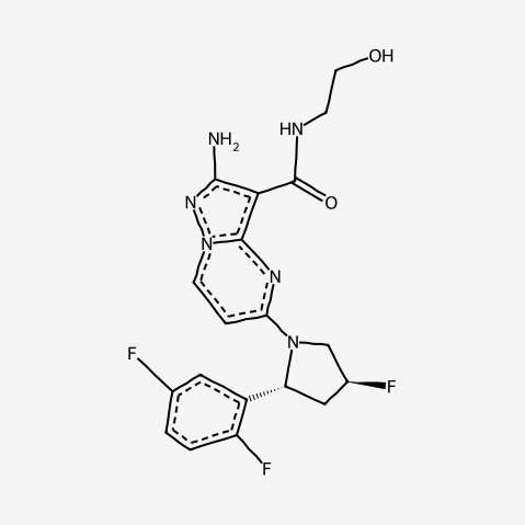 Nc1nn2ccc(N3C[C@@H](F)C[C@@H]3c3cc(F)ccc3F)nc2c1C(=O)NCCO